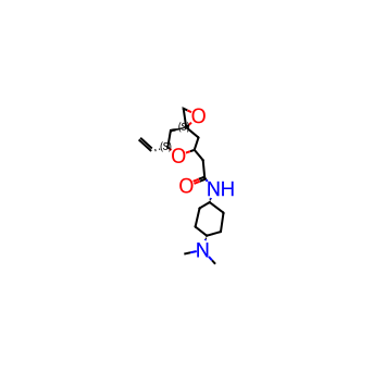 C=C[C@@H]1C[C@]2(CO2)CC(CC(=O)N[C@H]2CC[C@@H](N(C)C)CC2)O1